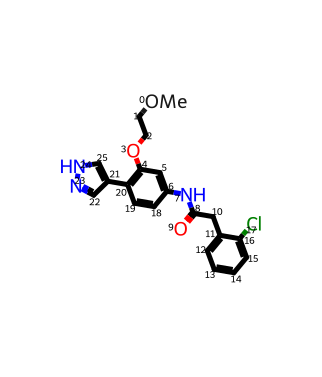 COCCOc1cc(NC(=O)Cc2ccccc2Cl)ccc1-c1cn[nH]c1